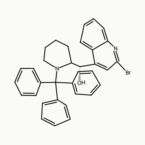 O[C@@H](c1cc(Br)nc2ccccc12)C1CCCCN1C(c1ccccc1)(c1ccccc1)c1ccccc1